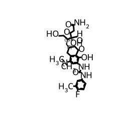 Cc1cc(NC(=O)Nc2cc(N(C)C)c3c(c2O)C(=O)C[C@H](C[C@@H](CCO)[C@](O)(CO)C(=O)CC(N)=O)C3)ccc1F